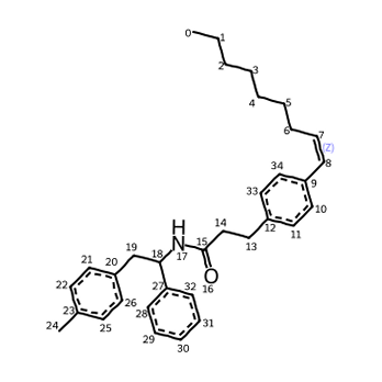 CCCCCCC/C=C\c1ccc(CCC(=O)NC(Cc2ccc(C)cc2)c2ccccc2)cc1